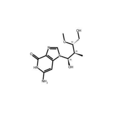 CO[C@H](CO)[C@@H](C)[C@@H](O)n1cnc2c(=O)[nH]c(N)cc21